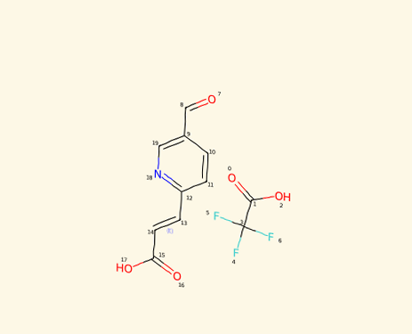 O=C(O)C(F)(F)F.O=Cc1ccc(/C=C/C(=O)O)nc1